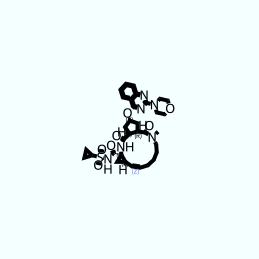 CN1CCCC/C=C\[C@@H]2C[C@@]2(C(=O)NS(=O)(=O)C2CC2)NC(=O)[C@@H]2C[C@@H](Oc3nc(N4CCOCC4)nc4ccccc34)C[C@H]2C1=O